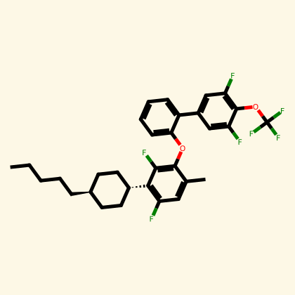 CCCCC[C@H]1CC[C@H](c2c(F)cc(C)c(Oc3ccccc3-c3cc(F)c(OC(F)(F)F)c(F)c3)c2F)CC1